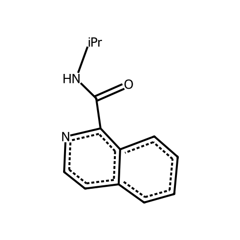 CC(C)NC(=O)c1nccc2ccccc12